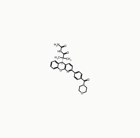 CC(C)(C(=O)NC(N)=O)[C@H]1c2ccccc2Oc2nc(-c3ccc(C(=O)N4CCOCC4)cc3)ccc21